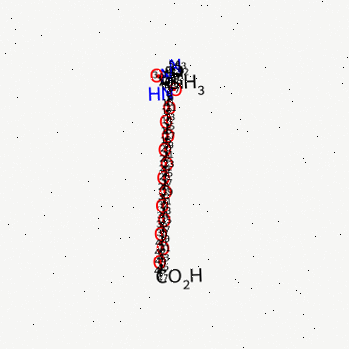 CN1C(=O)C[C@H](C(=O)NCCOCCOCCOCCOCCOCCOCCOCCOCCOCCOCCOCCOCCC(=O)O)[C@@]1([SiH3])c1cccnc1